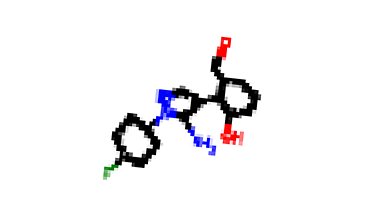 Nc1c(-c2c(O)cccc2C=O)cnn1-c1ccc(F)cc1